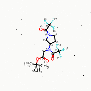 CC(C)(C)OC(=O)CN(C(=O)C(F)(F)F)C1CCN(C(=O)C(F)(F)F)C1